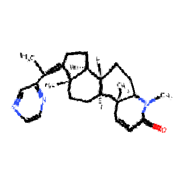 CC(=C1CC[C@H]2[C@@H]3CCC4N(C)C(=O)C=C[C@]4(C)[C@H]3CC[C@]12C)c1cnccn1